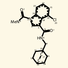 CNC(=O)n1cc(C(=O)NCC23CCC(CC2)CC3)c2c(Cl)cccc21